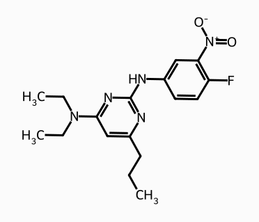 CCCc1cc(N(CC)CC)nc(Nc2ccc(F)c([N+](=O)[O-])c2)n1